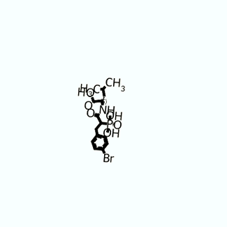 CC(C)C[C@H](NC(=O)C(Cc1ccc(Br)cc1)P(=O)(O)O)C(=O)O